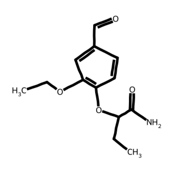 CCOc1cc(C=O)ccc1OC(CC)C(N)=O